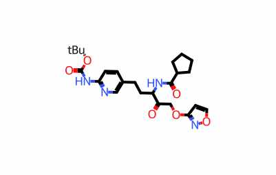 CC(C)(C)OC(=O)Nc1ccc(CCC(NC(=O)C2CCCC2)C(=O)COc2ccon2)cn1